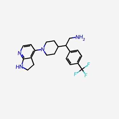 NCC(c1ccc(C(F)(F)F)cc1)C1CCN(c2ccnc3c2CCN3)CC1